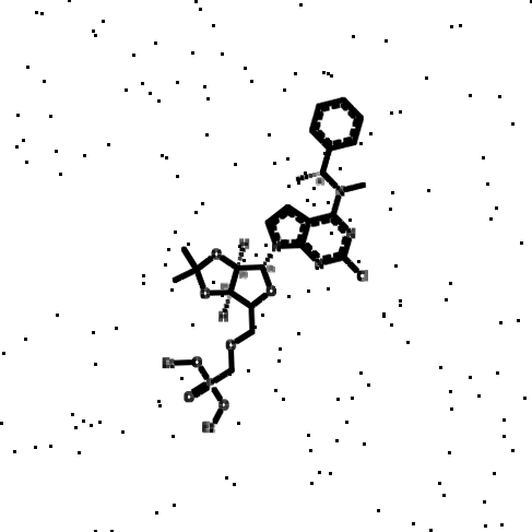 CCOP(=O)(COCC1O[C@@H](n2ccc3c(N(C)[C@H](C)c4ccccc4)nc(Cl)nc32)[C@@H]2OC(C)(C)O[C@H]12)OCC